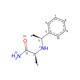 C[C@H](N[C@@H](C)c1ccccc1)C(N)=O